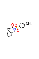 Cc1ccc(S(=O)(=O)N(Cc2ccccc2)C(=O)C2CC2)cc1